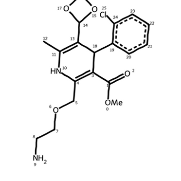 COC(=O)C1=C(COCCN)NC(C)=C(C2OCO2)C1c1ccccc1Cl